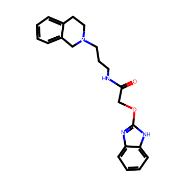 O=C(COc1nc2ccccc2[nH]1)NCCCN1CCc2ccccc2C1